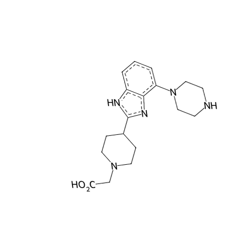 O=C(O)CN1CCC(c2nc3c(N4CCNCC4)cccc3[nH]2)CC1